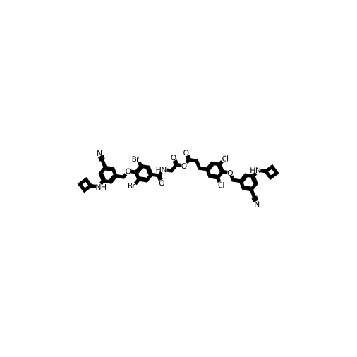 N#Cc1cc(COc2c(Cl)cc(CCC(=O)OC(=O)CNC(=O)c3cc(Br)c(OCc4cc(C#N)cc(NC5CCC5)c4)c(Br)c3)cc2Cl)cc(NC2CCC2)c1